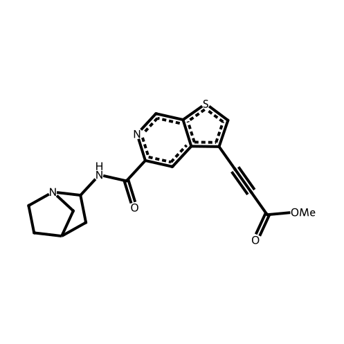 COC(=O)C#Cc1csc2cnc(C(=O)NC3CC4CCN3C4)cc12